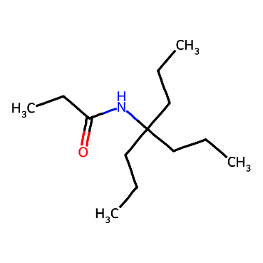 CCCC(CCC)(CCC)NC(=O)CC